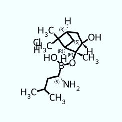 CC(C)C[C@@H](N)B(O)O[C@]1(C)[C@@H]2C[C@H](C[C@@H]1O)C2(C)C.Cl